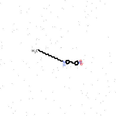 CCCCCCCCCCCCCCCCCCNc1ccc(C=Cc2ccc([N+](=O)[O-])cc2)cc1